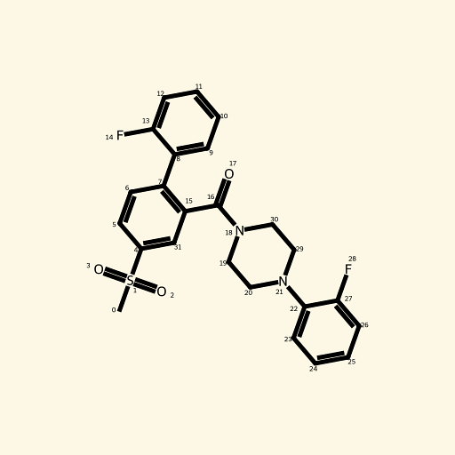 CS(=O)(=O)c1ccc(-c2ccccc2F)c(C(=O)N2CCN(c3ccccc3F)CC2)c1